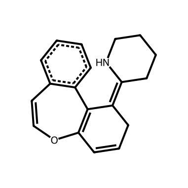 C1=CC2=C(C(=C3CCCCN3)C1)c1ccccc1C=CO2